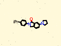 CC(C)c1ccc(N2Cc3ccc(N4CCCC4)cc3C2=O)cc1